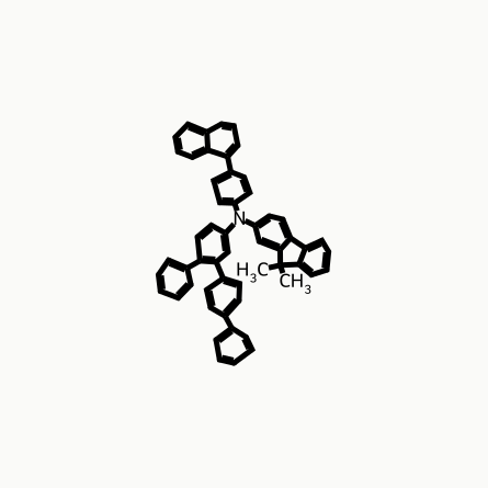 CC1(C)c2ccccc2-c2ccc(N(c3ccc(-c4cccc5ccccc45)cc3)c3ccc(-c4ccccc4)c(-c4ccc(-c5ccccc5)cc4)c3)cc21